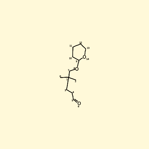 CC(C)(CCC=O)COC1CCCCO1